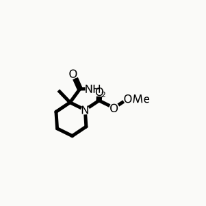 COOC(=O)N1CCCCC1(C)C(N)=O